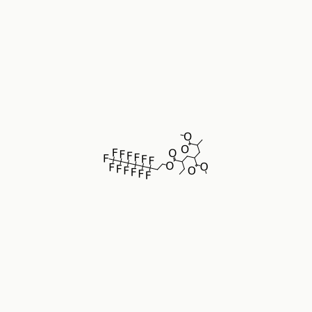 CCC(CC(CC(C)C(=O)OC)C(=O)OC)C(=O)OCCC(F)(F)C(F)(F)C(F)(F)C(F)(F)C(F)(F)C(F)(F)F